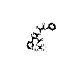 CC(C)(C)OC(=O)n1c(SC(F)C(=O)Nc2ccccc2)nnc1-c1cccnc1